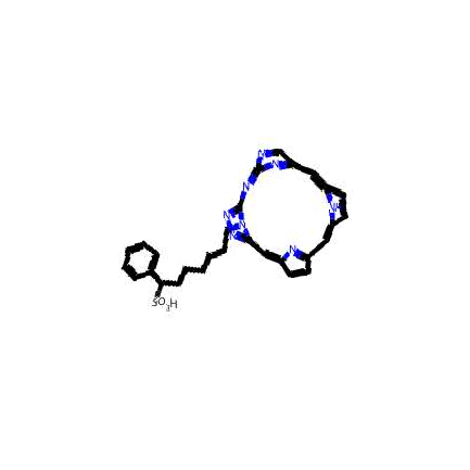 O=S(=O)(O)C(CCCCCCn1c2cc3nc(cc4ccc(cc5nc(nc1nn2)N=C5)[nH]4)C=C3)c1ccccc1